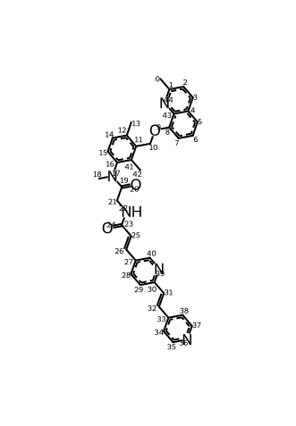 Cc1ccc2cccc(OCc3c(C)ccc(N(C)C(=O)CNC(=O)C=Cc4ccc(C=Cc5ccncc5)nc4)c3C)c2n1